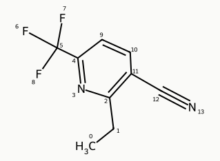 CCc1nc(C(F)(F)F)ccc1C#N